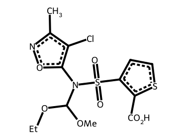 CCOC(OC)N(c1onc(C)c1Cl)S(=O)(=O)c1ccsc1C(=O)O